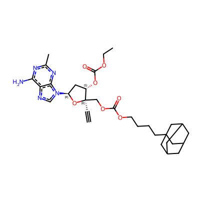 C#C[C@]1(COC(=O)OCCCCC23CC4CC(CC(C4)C2)C3)O[C@@H](n2cnc3c(N)nc(C)nc32)C[C@@H]1OC(=O)OCC